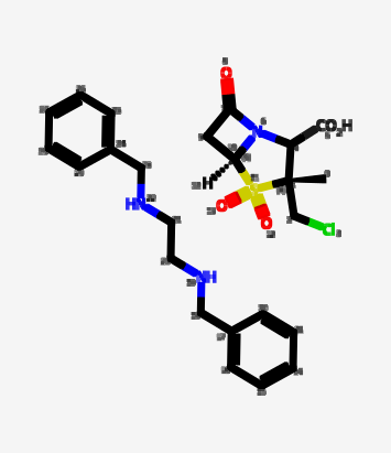 C[C@]1(CCl)C(C(=O)O)N2C(=O)C[C@@H]2S1(=O)=O.c1ccc(CNCCNCc2ccccc2)cc1